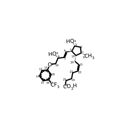 C[C@H]1C[C@@H](O)[C@H](/C=C/[C@@H](O)COc2cccc(C(F)(F)F)c2)[C@H]1C/C=C\CCCC(=O)O